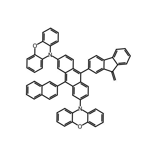 C=C1c2ccccc2-c2ccc(-c3c4ccc(N5c6ccccc6Oc6ccccc65)cc4c(-c4ccc5ccccc5c4)c4cc(N5c6ccccc6Oc6ccccc65)ccc34)cc21